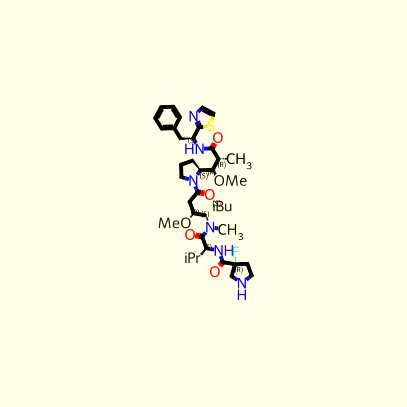 CC[C@H](C)[C@@H]([C@@H](CC(=O)N1CCC[C@H]1[C@H](OC)[C@@H](C)C(=O)N[C@@H](Cc1ccccc1)c1nccs1)OC)N(C)C(=O)[C@@H](NC(=O)[C@@]1(F)CCNC1)C(C)C